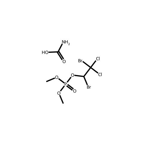 COP(=O)(OC)OC(Br)C(Cl)(Cl)Br.NC(=O)O